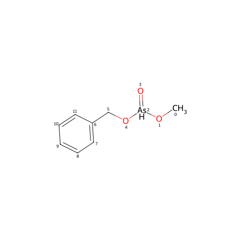 CO[AsH](=O)OCc1ccccc1